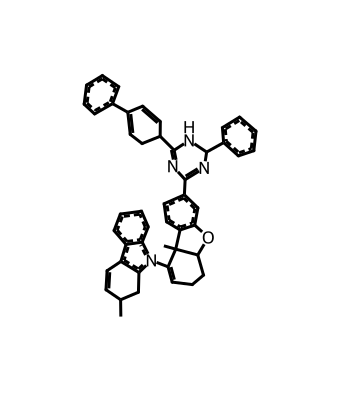 CC1C=Cc2c(n(C3=CCCC4Oc5cc(C6=NC(c7ccccc7)NC(C7C=CC(c8ccccc8)=CC7)=N6)ccc5C34C)c3ccccc23)C1